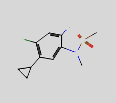 CN(c1cc(C2CC2)c(Cl)cc1N)S(C)(=O)=O